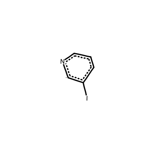 Ic1[c]nccc1